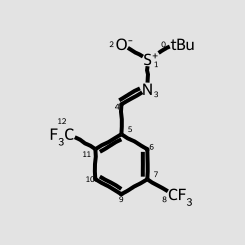 CC(C)(C)[S+]([O-])N=Cc1cc(C(F)(F)F)ccc1C(F)(F)F